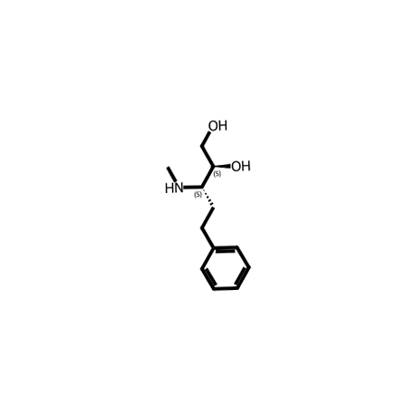 CN[C@@H](CCc1ccccc1)[C@H](O)CO